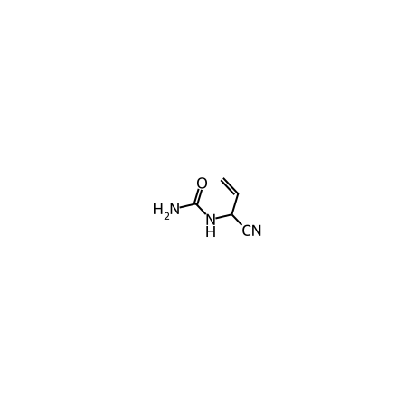 C=CC(C#N)NC(N)=O